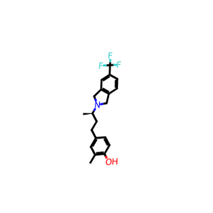 Cc1cc(CC[C@@H](C)N2Cc3ccc(C(F)(F)F)cc3C2)ccc1O